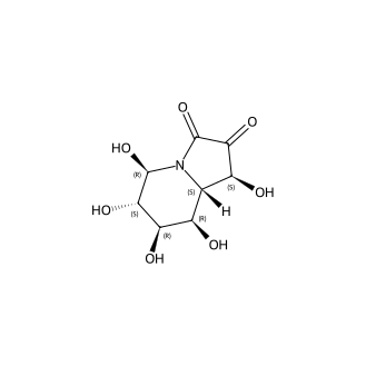 O=C1C(=O)N2[C@@H]([C@@H](O)[C@@H](O)[C@H](O)[C@H]2O)[C@@H]1O